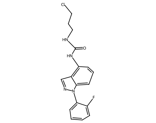 O=C(NCCCCl)Nc1cccc2c1cnn2-c1ccccc1F